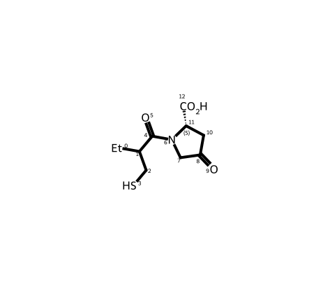 CCC(CS)C(=O)N1CC(=O)C[C@H]1C(=O)O